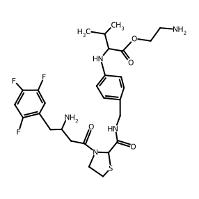 CC(C)C(Nc1ccc(CNC(=O)C2SCCN2C(=O)CC(N)Cc2cc(F)c(F)cc2F)cc1)C(=O)OCCN